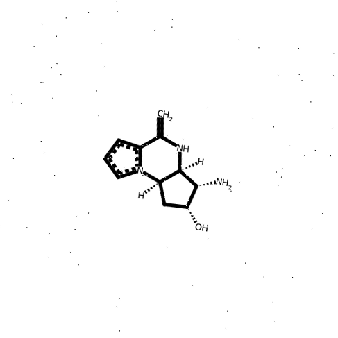 C=C1N[C@H]2[C@H](N)[C@H](O)C[C@H]2n2cccc21